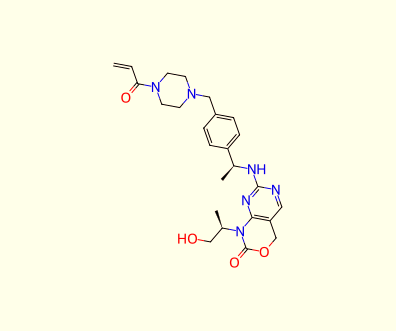 C=CC(=O)N1CCN(Cc2ccc([C@H](C)Nc3ncc4c(n3)N([C@H](C)CO)C(=O)OC4)cc2)CC1